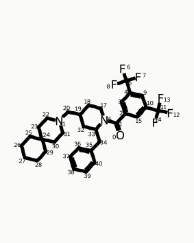 O=C(c1cc(C(F)(F)F)cc(C(F)(F)F)c1)N1CCC(CN2CCC3(CCCCC3)CC2)CC1Cc1ccccc1